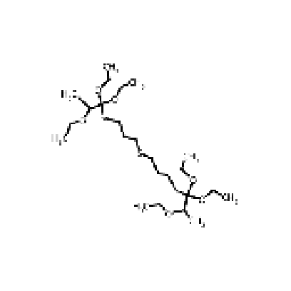 CCOC(C)C(OCC)(OCC)SCCCSCCCSC(OCC)(OCC)C(C)OCC